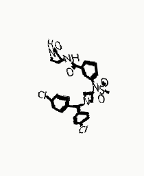 CS(=O)(=O)N(c1cccc(C(=O)NC2CCNC2=O)c1)C1CN(C(c2ccc(Cl)cc2)c2ccc(Cl)cc2)C1